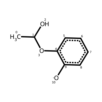 CC(O)Oc1ccccc1[O]